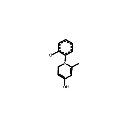 CC1=CC(O)=CCN1c1ccccc1Cl